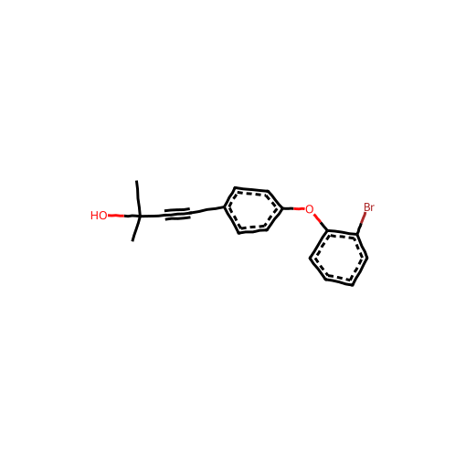 CC(C)(O)C#Cc1ccc(Oc2ccccc2Br)cc1